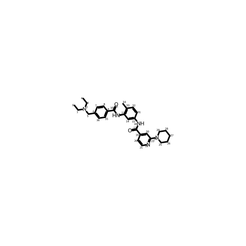 CCN(CC)Cc1ccc(C(=O)Nc2cc(NC(=O)c3ccnc(N4CCCCC4)c3)ccc2C)cc1